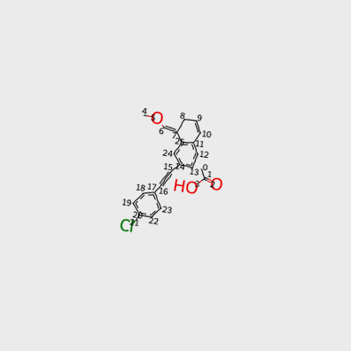 CC(=O)O.COC=C1CC=Cc2ccc(C#Cc3ccc(Cl)cc3)cc21